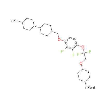 CCCCCC1CCC(OCC(F)(F)Oc2ccc(OCC3CCC(C4CCC(CCC)CC4)CC3)c(F)c2F)CC1